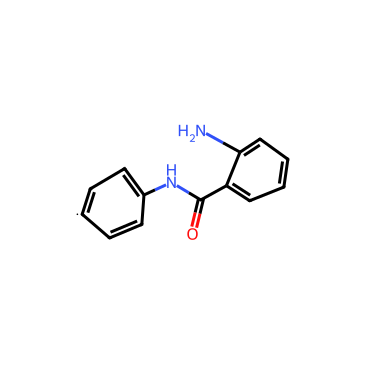 Nc1ccccc1C(=O)Nc1cc[c]cc1